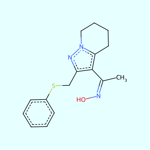 C/C(=N/O)c1c(CSc2ccccc2)nn2c1CCCC2